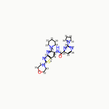 O=C(Nc1cc2sc(N3CCOCC3)nc2nc1N1CCCCC1)c1ccnc(N2CCCC2)n1